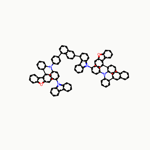 c1ccc(N(c2ccc(-c3cccc4cc(-c5cccc6c5c5ccccc5n6-c5ccc(N(c6ccccc6-c6ccc7ccccc7c6)c6ccccc6-c6cccc7oc8ccccc8c67)cc5)ccc34)cc2)c2ccc(-n3c4ccccc4c4ccccc43)cc2)c(-c2cccc3oc4ccccc4c23)c1